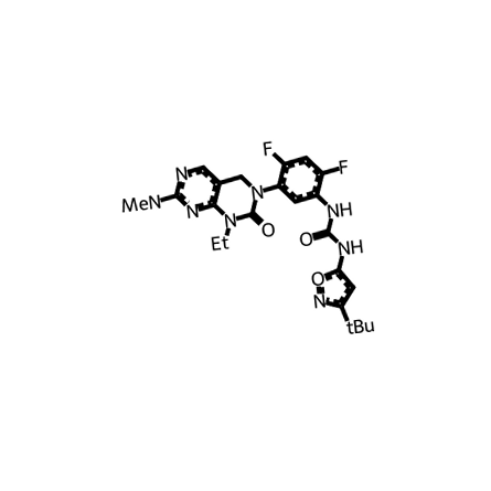 CCN1C(=O)N(c2cc(NC(=O)Nc3cc(C(C)(C)C)no3)c(F)cc2F)Cc2cnc(NC)nc21